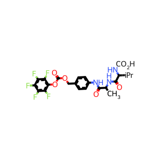 CC(NC(=O)C(NC(=O)O)C(C)C)C(=O)Nc1ccc(COC(=O)Oc2c(F)c(F)c(F)c(F)c2F)cc1